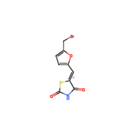 O=C1NC(=O)/C(=C/c2ccc(CBr)o2)S1